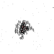 COC(=O)[C@H](CCN(CCCN(CCc1ccc(Oc2ccccc2)cc1)C(=O)OC(C)(C)C)C[C@H]1C[C@@H](n2ccc3c(N(C)C(=O)OC(C)(C)C)ncnc32)[C@@H]2OC(C)(C)O[C@H]12)NC(=O)OC(C)(C)C